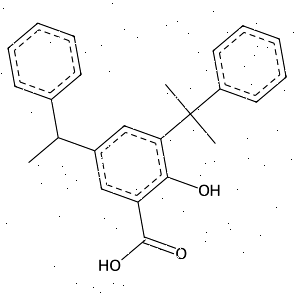 CC(c1ccccc1)c1cc(C(=O)O)c(O)c(C(C)(C)c2ccccc2)c1